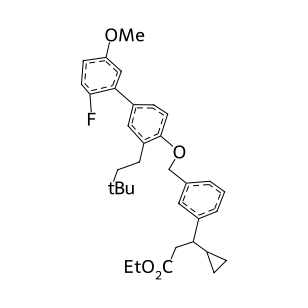 CCOC(=O)CC(c1cccc(COc2ccc(-c3cc(OC)ccc3F)cc2CCC(C)(C)C)c1)C1CC1